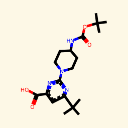 CC(C)(C)OC(=O)NC1CCN(c2nc(C(=O)O)cc(C(C)(C)C)n2)CC1